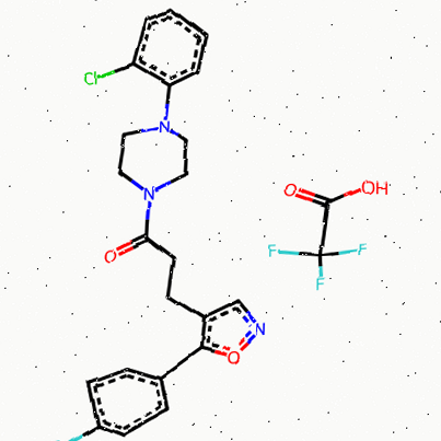 O=C(CCc1cnoc1-c1ccc(F)cc1)N1CCN(c2ccccc2Cl)CC1.O=C(O)C(F)(F)F